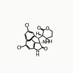 O=C1OCC[C@@H]2N[C@@]3(C(=O)Nc4cc(Cl)ccc43)[C@@H](c3cccc(Cl)c3)[C@H]12